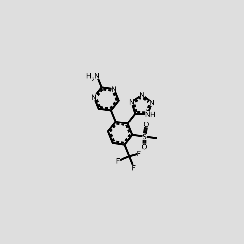 CS(=O)(=O)c1c(C(F)(F)F)ccc(-c2cnc(N)nc2)c1-c1nnn[nH]1